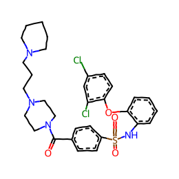 O=C(c1ccc(S(=O)(=O)Nc2ccccc2Oc2ccc(Cl)cc2Cl)cc1)N1CCN(CCCN2CCCCC2)CC1